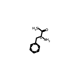 N[C@@H](Cc1ccccc1)C(=O)[SiH3]